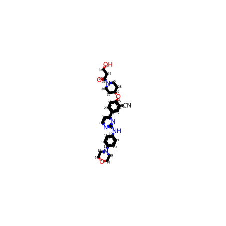 N#Cc1cc(-c2ccnc(Nc3ccc(N4CCOCC4)cc3)n2)ccc1OC1CCN(C(=O)CCO)CC1